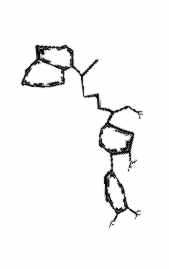 CC(CCCC(CF)c1ccc(-c2ccc(F)c(F)c2)c(F)c1)c1cccc2ccccc12